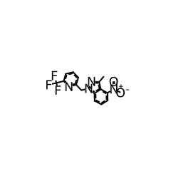 Cc1nn(Cc2cccc(C(F)(F)F)n2)c2cccc([N+](=O)[O-])c12